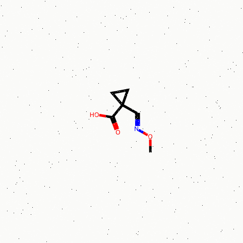 CON=CC1(C(=O)O)CC1